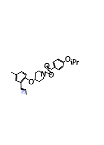 C/C=C/c1cc(C)ccc1OC1CCN(S(=O)(=O)c2ccc(OC(C)C)cc2)CC1